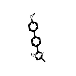 COc1ccc(-c2ccc(-c3nc(C)c[nH]3)cc2)cc1